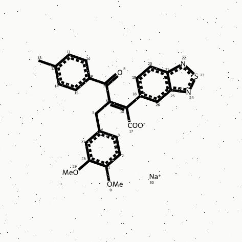 COc1ccc(C/C(C(=O)c2ccc(C)cc2)=C(\C(=O)[O-])c2ccc3nsnc3c2)cc1OC.[Na+]